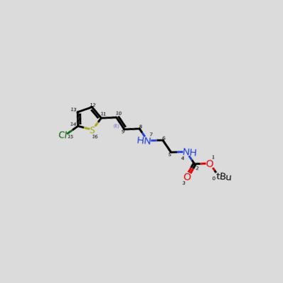 CC(C)(C)OC(=O)NCCNC/C=C/c1ccc(Cl)s1